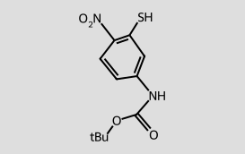 CC(C)(C)OC(=O)Nc1ccc([N+](=O)[O-])c(S)c1